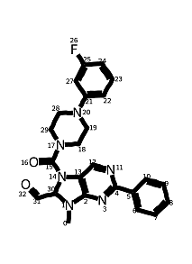 CN1c2nc(-c3ccccc3)ncc2N(C(=O)N2CCN(c3cccc(F)c3)CC2)C1C=O